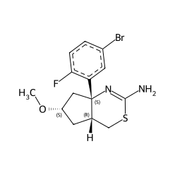 CO[C@H]1C[C@H]2CSC(N)=N[C@@]2(c2cc(Br)ccc2F)C1